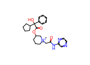 C[N@@+]1(CC(=O)Nc2cnccn2)CCCC(OC(=O)C(O)(c2ccccc2)C2CCCC2)C1